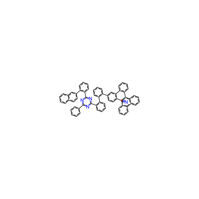 N#Cc1ccc(-c2ccccc2-c2ccccc2-c2nc(-c3ccccc3)nc(-c3ccccc3-c3ccc4ccccc4c3)n2)cc1-c1ccccc1-c1cc2ccccc2c2ccccc12